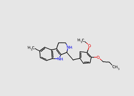 CCCOc1ccc(CC2NCCc3c2[nH]c2ccc(C)cc32)cc1OC